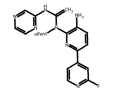 C=C(Nc1cnccn1)N(CCCCC)c1nc(-c2ccnc(F)c2)ccc1N